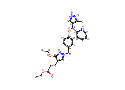 CCOC(=O)CCc1cn(Cc2ccc(OC(c3ccccn3)c3c[nH]nc3C)cc2)nc1OCC